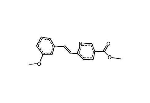 COC(=O)c1ccc(/C=C/c2cccc(OC)c2)nc1